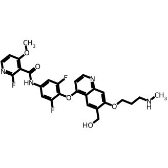 CNCCCOc1cc2nccc(Oc3c(F)cc(NC(=O)c4c(OC)ccnc4F)cc3F)c2cc1CO